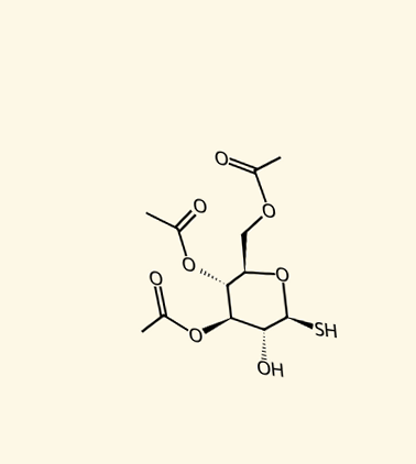 CC(=O)OC[C@H]1O[C@@H](S)[C@H](O)[C@@H](OC(C)=O)[C@@H]1OC(C)=O